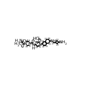 CC(C)(N)C(=O)N1CCN(C(=O)Nc2ccn(-c3ccc4c(c3)CCC(NCC3CC(N)C3)C4)c(=O)n2)CC1.Cl